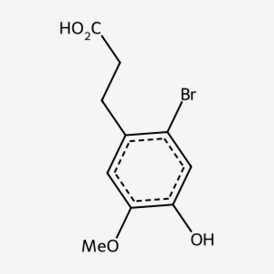 COc1cc(CCC(=O)O)c(Br)cc1O